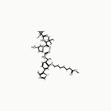 COC(=O)CCCCCCOc1cc(-c2scnc2C)ccc1[C@H](C)NC(=O)[C@@H]1C[C@@H](O)CN1C(=O)C(NC(=O)C1(F)CC1)C(C)(C)C